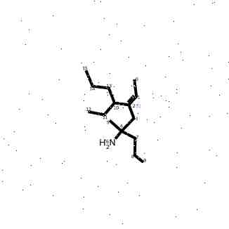 C/C=C(/CC(C)(N)CCC)C(CC)CCC